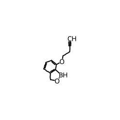 C#CCCOc1cccc2c1BOC2